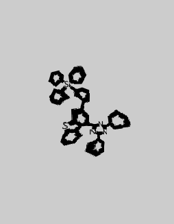 c1ccc(-c2nc(-c3ccccc3)nc(-c3cc(-c4cccc([Si](c5ccccc5)(c5ccccc5)c5ccccc5)c4)cc4sc5ccccc5c34)n2)cc1